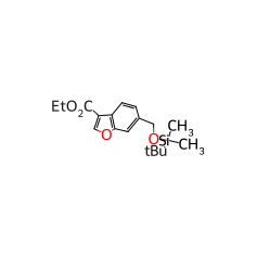 CCOC(=O)c1coc2cc(CO[Si](C)(C)C(C)(C)C)ccc12